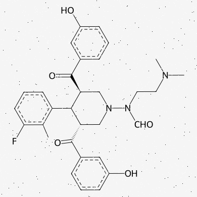 Cc1c(F)cccc1C1[C@@H](C(=O)c2cccc(O)c2)CN(N(C=O)CCN(C)C)C[C@@H]1C(=O)c1cccc(O)c1